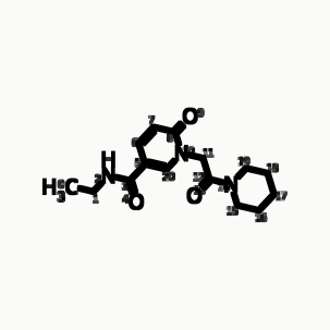 CCNC(=O)c1ccc(=O)n(CC(=O)N2CCCCC2)c1